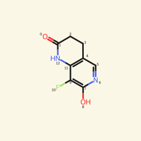 O=C1CCc2cnc(O)c(F)c2N1